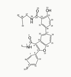 CNC(=O)c1c(-c2ccc(F)cc2)oc2ccc(-c3ccc(O)c(C(=O)NCC(C)C)c3)cc12